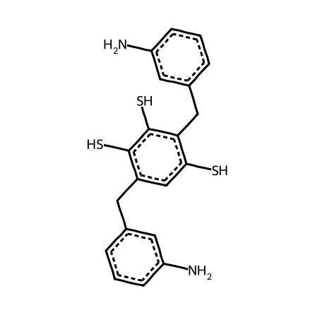 Nc1cccc(Cc2cc(S)c(Cc3cccc(N)c3)c(S)c2S)c1